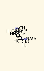 C#C/C(CC1CCC(NC(=C)C(N)/C=C\C(=C)C)CC1)=C(C)/C=C(\CC)NC